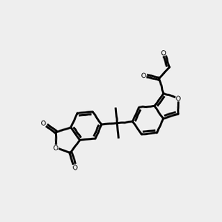 CC(C)(c1ccc2c(c1)C(=O)OC2=O)c1ccc2coc(C(=O)C=O)c2c1